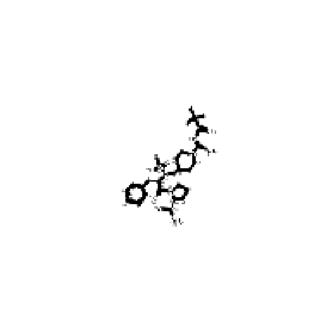 CC(C)(C)C(=O)N=C(N)N1CCC(CN([C@H](Cc2ccccc2)C(=O)N2CCC[C@H]2C(N)=O)S(C)(=O)=O)CC1